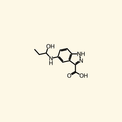 CCC(O)Nc1ccc2[nH]nc(C(=O)O)c2c1